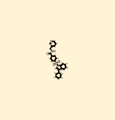 O=C(NCc1cccnn1)c1ccc(S(=O)(=O)n2cc(-c3ccccc3)c3ccccc32)cc1